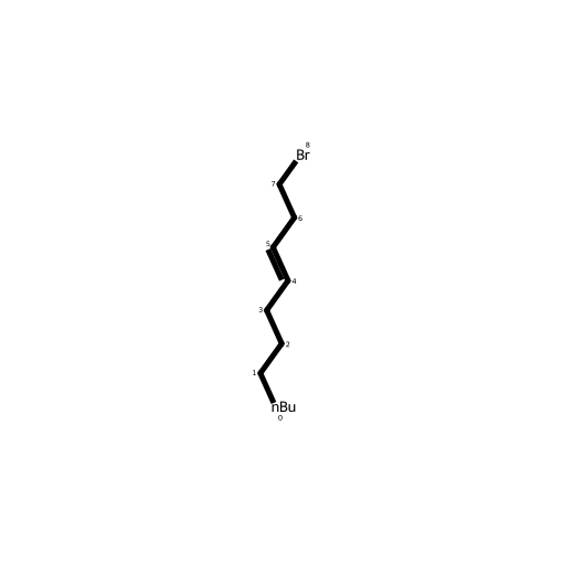 CCCCCCCC=CCCBr